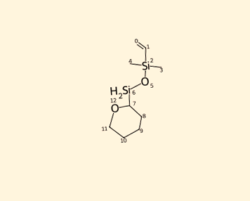 C=C[Si](C)(C)O[SiH2]C1CCCCO1